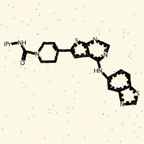 CC(C)NC(=O)N1CC=C(c2cc3c(Nc4ccc5scnc5c4)ncnc3s2)CC1